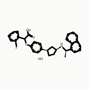 C[C@@H](N[C@H]1CC[C@@H](c2ccc(OC(C(=O)O)c3ccccc3F)cc2)C1)c1cccc2ccccc12.Cl